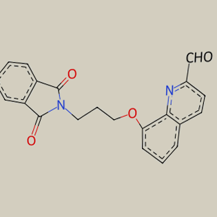 O=Cc1ccc2cccc(OCCCN3C(=O)c4ccccc4C3=O)c2n1